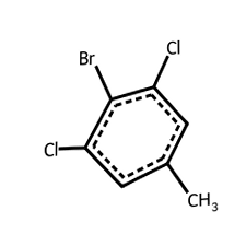 Cc1cc(Cl)c(Br)c(Cl)c1